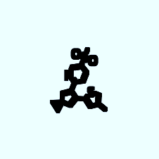 Cc1csc(C2=CC3(C=C2c2ccc(S(C)(=O)=O)cn2)CC3)c1